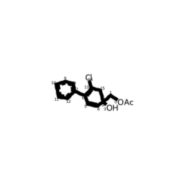 CC(=O)OCC1(O)C=CC(c2ccccc2)=C(Cl)C1